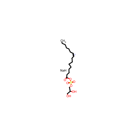 CCCCCC/C=C\CCCCCCCC(=O)OS(=O)(=O)OCC(O)CO.[NaH]